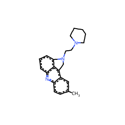 Cc1ccc2nc3cccc4c3c(c2c1)CN4CCN1CCCCC1